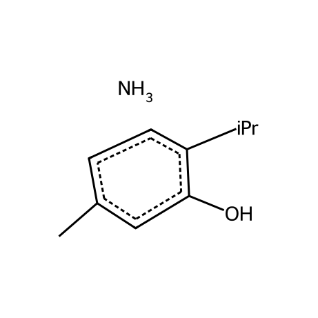 Cc1ccc(C(C)C)c(O)c1.N